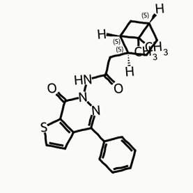 CC1(C)[C@H]2CC[C@@H](CC(=O)Nn3nc(-c4ccccc4)c4ccsc4c3=O)[C@@H]1C2